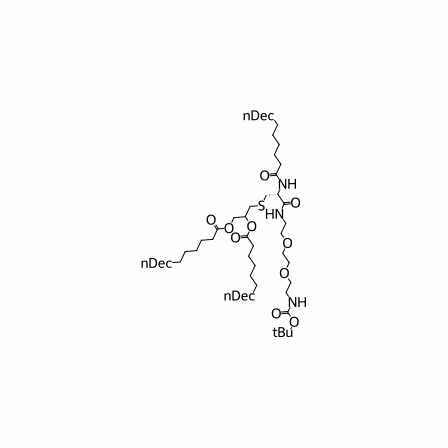 CCCCCCCCCCCCCCCC(=O)N[C@@H](CSCC(COC(=O)CCCCCCCCCCCCCCC)OC(=O)CCCCCCCCCCCCCCC)C(=O)NCCOCCOCCNC(=O)OC(C)(C)C